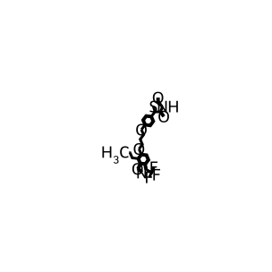 CCCc1c(OCCCOc2ccc(C3SC(=O)NC3=O)cc2)ccc2c(C(F)(F)F)noc12